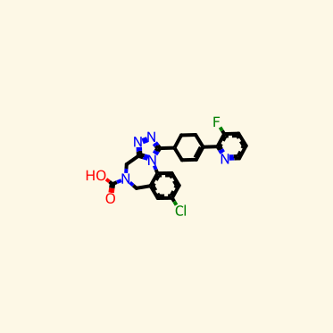 O=C(O)N1Cc2cc(Cl)ccc2-n2c(nnc2C2CC=C(c3ncccc3F)CC2)C1